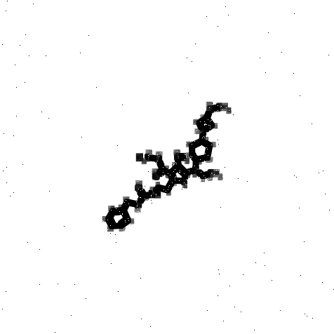 CCN(c1sc(CCNC(=O)OCc2ccccc2)c(C(=O)OC)c1C)C1CCC(N2CC(OC)C2)CC1